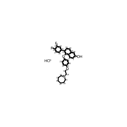 Cl.Oc1ccc2c(Oc3ccc(OCCN4CCCCCC4)cc3)c(-c3ccc(F)c(F)c3)ccc2c1